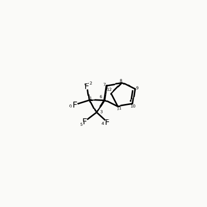 FC1(F)C(F)(F)C12CC1C=CC2C1